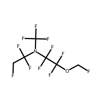 FCOC(F)(F)C(F)(F)N(C(F)(F)F)C(F)(F)CF